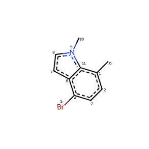 Cc1ccc(Br)c2ccn(C)c12